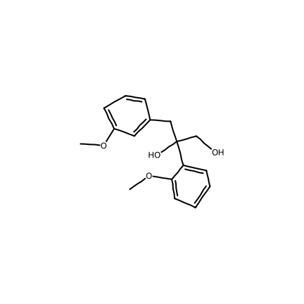 COc1cccc(CC(O)(CO)c2ccccc2OC)c1